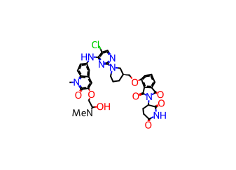 CNC(O)COc1cc2cc(Nc3nc(N4CCC[C@H](COc5cccc6c5C(=O)N(C5CCC(=O)NC5=O)C6=O)C4)ncc3Cl)ccc2n(C)c1=O